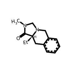 CC[C@]12Cc3ccccc3CN1CN(C)C2=O